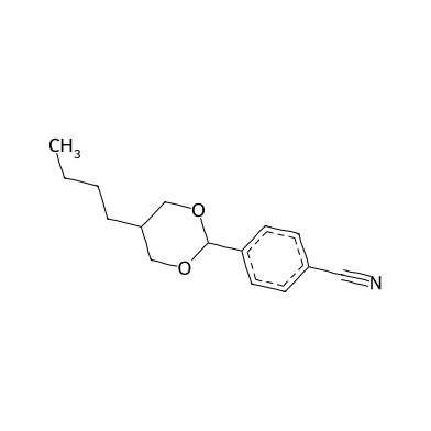 CCCCC1COC(c2ccc(C#N)cc2)OC1